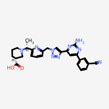 C[C@H](c1cccc(Cn2cc(-c3cc(-c4cccc(C#N)c4)nc(N)n3)nn2)n1)N1CCC[C@@H](C(=O)O)C1